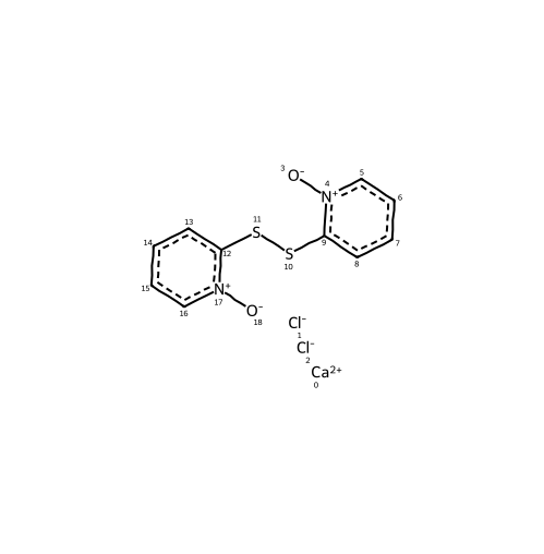 [Ca+2].[Cl-].[Cl-].[O-][n+]1ccccc1SSc1cccc[n+]1[O-]